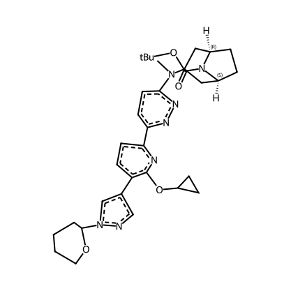 CN(c1ccc(-c2ccc(-c3cnn(C4CCCCO4)c3)c(OC3CC3)n2)nn1)C1C[C@H]2CC[C@@H](C1)N2C(=O)OC(C)(C)C